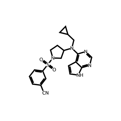 N#Cc1cccc(S(=O)(=O)N2CCC(N(CC3CC3)c3ncnc4[nH]ccc34)C2)c1